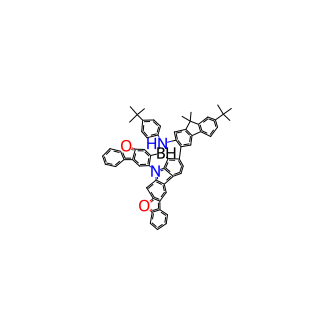 CC(C)(C)c1ccc(Nc2cc3c(cc2-c2ccc4c5cc6c(cc5n5c4c2Bc2cc4oc7ccccc7c4cc2-5)oc2ccccc26)-c2ccc(C(C)(C)C)cc2C3(C)C)cc1